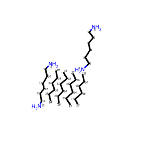 NCCCCCCN.NCCCCCCN.[CH2]CCCC[CH2].[CH2]CCCC[CH2].[CH2]CCCC[CH2].[CH2]CCCC[CH2]